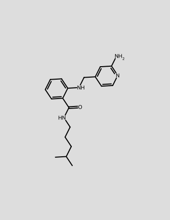 CC(C)CCCNC(=O)c1ccccc1NCc1ccnc(N)c1